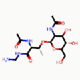 CC(=O)NC1C(O)[C@H](O)C(CO)O[C@H]1O[C@H](C)[C@H](NC(C)=O)C(=O)NCN